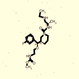 CCNC[C@H](C)NC(=O)N1CCC[C@@H]([C@@H](OCCNC(=O)OC)c2cccc(F)c2)C1